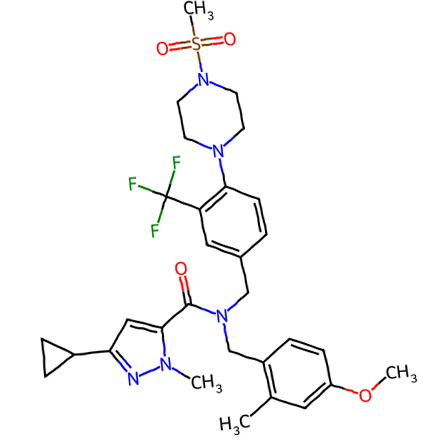 COc1ccc(CN(Cc2ccc(N3CCN(S(C)(=O)=O)CC3)c(C(F)(F)F)c2)C(=O)c2cc(C3CC3)nn2C)c(C)c1